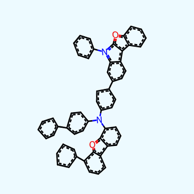 c1ccc(-c2ccc(N(c3ccc(-c4ccc5c6c7ccccc7oc6n(-c6ccccc6)c5c4)cc3)c3cccc4c3oc3c(-c5ccccc5)cccc34)cc2)cc1